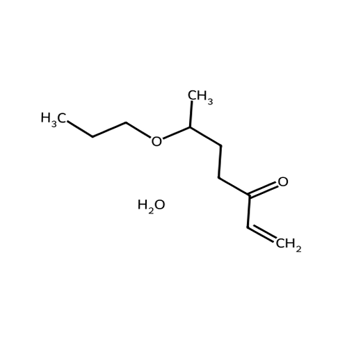 C=CC(=O)CCC(C)OCCC.O